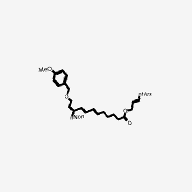 CCCCCCC=CCOC(=O)CCCCCCCCC(CCCCCCCCC)CCOCc1ccc(OC)cc1